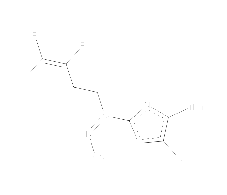 CC(C)(C)c1nc(/S(CCC(F)=C(F)F)=N\C#N)sc1Br